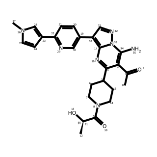 CC(=O)c1c(C2CCN(C(=O)[C@@H](C)O)CC2)nc2c(-c3ccc(-c4ccn(C)c4)nc3)cnn2c1N